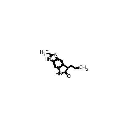 C=CCC1C(=O)Nc2cc3[nH]c(C)nc3cc21